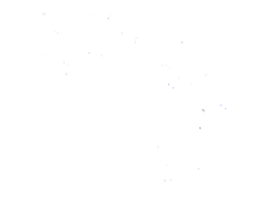 COc1cc(Cl)ccc1-c1nscc1NC(=O)OCc1ccc2c(c1)ncn2C